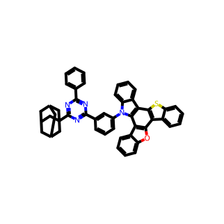 c1ccc(-c2nc(-c3cccc(-n4c5ccccc5c5c6sc7ccccc7c6c6oc7ccccc7c6c54)c3)nc(C34CC5CC(CC(C5)C3)C4)n2)cc1